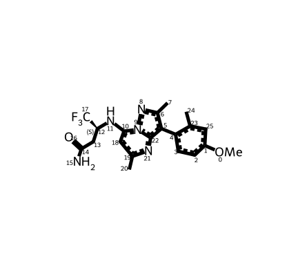 COc1ccc(-c2c(C)nn3c(N[C@@H](CC(N)=O)C(F)(F)F)cc(C)nc23)c(C)c1